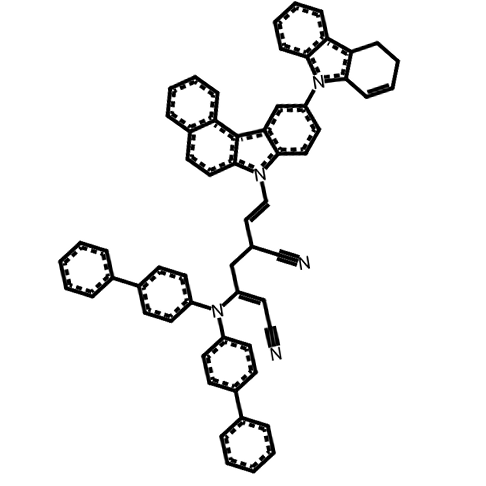 N#C/C=C(/CC(C#N)/C=C/n1c2ccc(-n3c4c(c5ccccc53)CCC=C4)cc2c2c3ccccc3ccc21)N(c1ccc(-c2ccccc2)cc1)c1ccc(-c2ccccc2)cc1